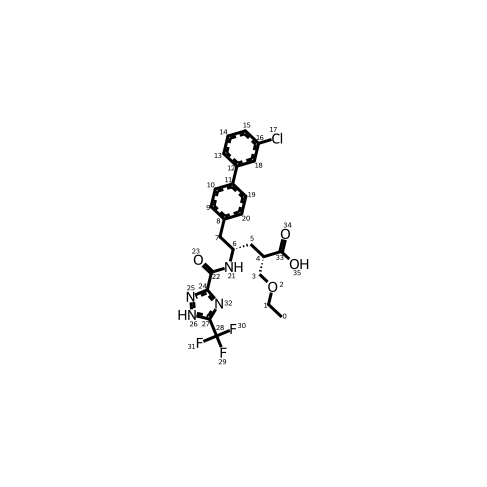 CCOC[C@H](C[C@@H](Cc1ccc(-c2cccc(Cl)c2)cc1)NC(=O)c1n[nH]c(C(F)(F)F)n1)C(=O)O